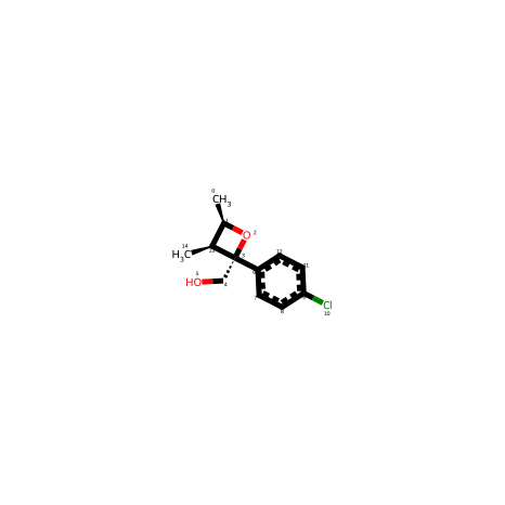 C[C@H]1O[C@@](CO)(c2ccc(Cl)cc2)[C@H]1C